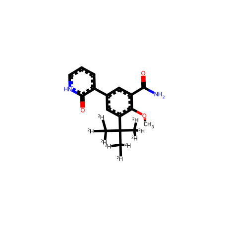 [2H]C([2H])([2H])C(c1cc(-c2ccc[nH]c2=O)cc(C(N)=O)c1OC)(C([2H])([2H])[2H])C([2H])([2H])[2H]